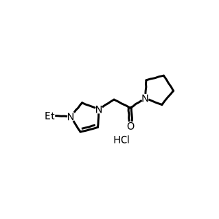 CCN1C=CN(CC(=O)N2CCCC2)C1.Cl